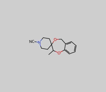 CC1Oc2ccccc2COC12CCN(C#N)CC2